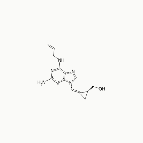 C=CCNc1nc(N)nc2c1ncn2/C=C1/C[C@@H]1CO